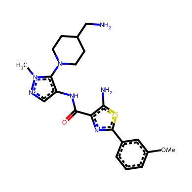 COc1cccc(-c2nc(C(=O)Nc3cnn(C)c3N3CCC(CN)CC3)c(N)s2)c1